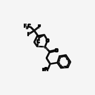 [CH2]CCC(CC(=O)[C]1OC2CCC1CC2C(F)(F)C(F)(F)F)c1ccccc1